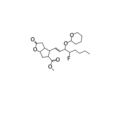 CCCCC(F)C(/C=C/C1C(C(=O)OC)CC2OC(=O)CC21)OC1CCCCO1